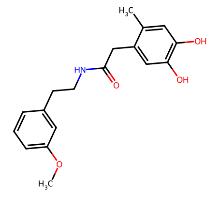 COc1cccc(CCNC(=O)Cc2cc(O)c(O)cc2C)c1